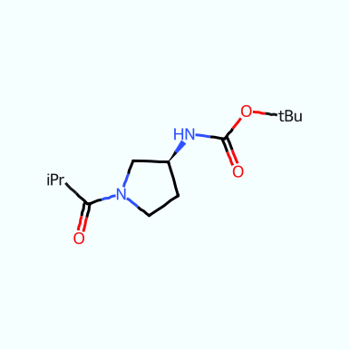 CC(C)C(=O)N1CC[C@H](NC(=O)OC(C)(C)C)C1